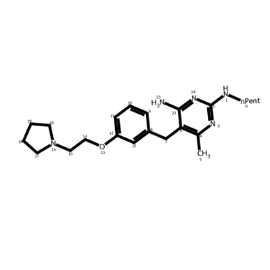 CCCCCNc1nc(C)c(Cc2cccc(OCCN3CCCC3)c2)c(N)n1